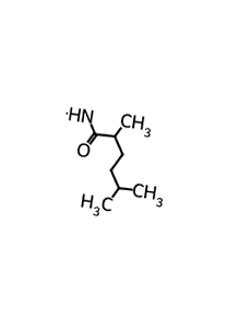 CC(C)CCC(C)C([NH])=O